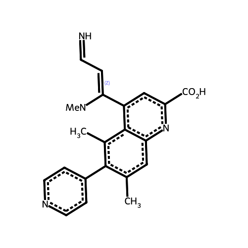 CN/C(=C\C=N)c1cc(C(=O)O)nc2cc(C)c(-c3ccncc3)c(C)c12